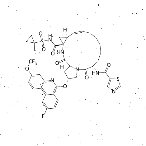 CC1(S(=O)(=O)NC(=O)[C@@]23C[C@H]2/C=C\CCCCC[C@H](NC(=O)c2cncs2)C(=O)N2C[C@H](Oc4nc5cc(OC(F)(F)F)ccc5c5cc(F)ccc45)C[C@H]2C(=O)N3)CC1